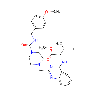 COC(=O)[C@@H](Nc1nc(CN2CCN(C(=O)NCc3ccc(OC)cc3)CC2)nc2ccccc12)C(C)C